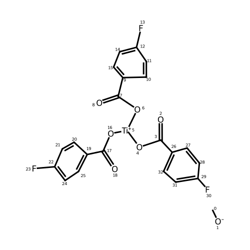 C[O-].O=C([O][Ti+]([O]C(=O)c1ccc(F)cc1)[O]C(=O)c1ccc(F)cc1)c1ccc(F)cc1